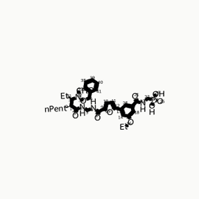 CCCCC[C@@H](C(=O)NCNC(=O)c1ccc(-c2cc(OCC)cc(C(=O)NCP(=O)(O)O)c2)o1)[C@@H](CC)N(C=O)OCc1ccccc1